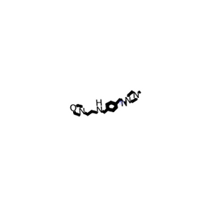 CN1CCN(/N=C/c2ccc(CNCCCN3CCOCC3)cc2)CC1